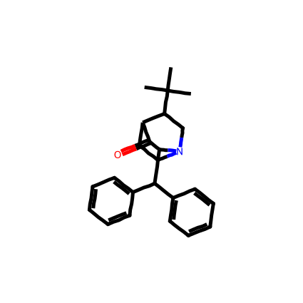 CC(C)(C)C1CN2CCC1C(=O)C2C(c1ccccc1)c1ccccc1